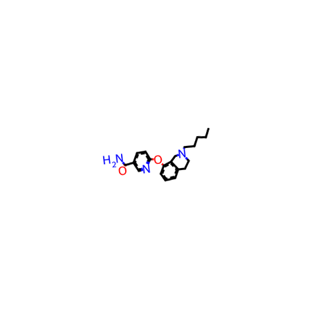 CCCCCN1CCc2cccc(Oc3ccc(C(N)=O)cn3)c2C1